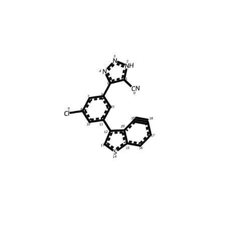 N#Cc1[nH]nnc1-c1cc(Cl)cc(-c2csc3ccc#cc23)c1